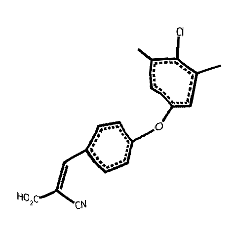 Cc1cc(Oc2ccc(/C=C(\C#N)C(=O)O)cc2)cc(C)c1Cl